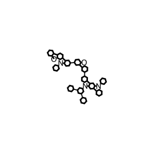 c1ccc(-c2cc(-c3ccccc3)cc(-n3c4ccc(-c5ccc6oc7ccc(-c8ccc9c(c8)c8ccc%10c%11ccccc%11oc%10c8n9-c8ccccc8)cc7c6c5)cc4c4cc5c(cc43)c3ccccc3n5-c3ccccc3)c2)cc1